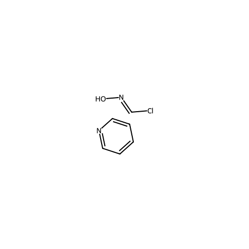 O/N=C/Cl.c1ccncc1